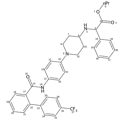 CCCOC(=O)C(NC1CCN(c2ccc(NC(=O)c3ccccc3-c3ccc(C(F)(F)F)cc3)cc2)CC1)c1ccccc1